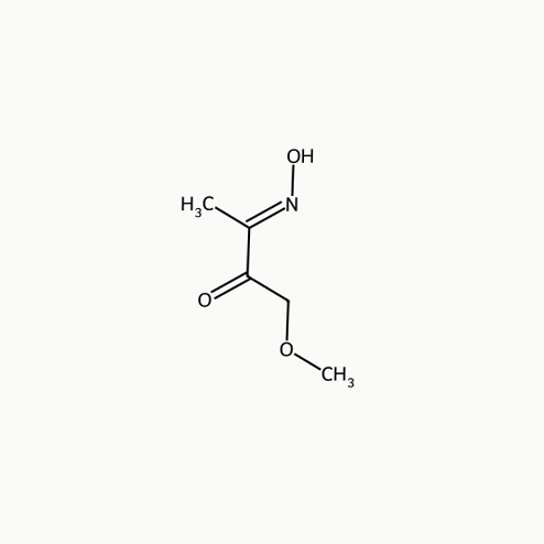 COCC(=O)C(C)=NO